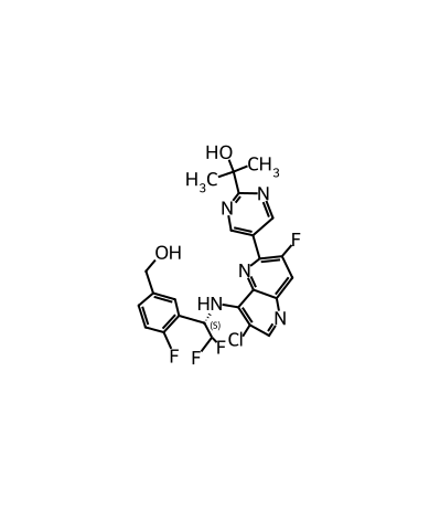 CC(C)(O)c1ncc(-c2nc3c(N[C@@H](c4cc(CO)ccc4F)C(F)F)c(Cl)cnc3cc2F)cn1